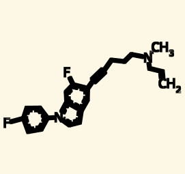 C=CCN(C)CCCC#Cc1cc2ccn(-c3ccc(F)cc3)c2cc1F